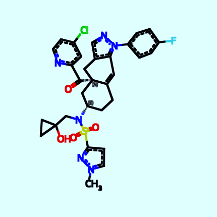 Cn1ccc(S(=O)(=O)N(CC2(O)CC2)[C@H]2CCC3=Cc4c(cnn4-c4ccc(F)cc4)C[C@]3(C(=O)c3cc(Cl)ccn3)C2)n1